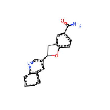 NC(=O)c1ccc2c(c1)CC(c1cnc3ccccc3c1)O2